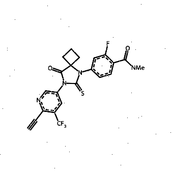 C#Cc1ncc(N2C(=O)C3(CCC3)N(c3ccc(C(=O)NC)c(F)c3)C2=S)cc1C(F)(F)F